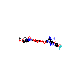 Cc1cc(C(=O)NCCOCCOCCOCCO[C@@H]2CCN(c3ncc(C(=O)Nc4ccc(OC(F)(F)F)cc4)cc3-c3ccn[nH]3)C2)ccc1B(O)O